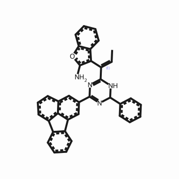 C/C=C(/C1=NC(c2cc3c4c(cccc4c2)-c2ccccc2-3)=NC(c2ccccc2)N1)c1c(N)oc2ccccc12